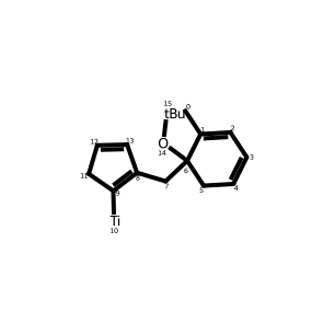 CC1=CC=CCC1(CC1=[C]([Ti])CC=C1)OC(C)(C)C